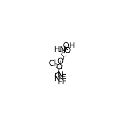 C[C@H](COc1ccc(-c2ccnc(C(F)(F)F)n2)cc1Cl)CC(C)(C)NC(=O)O